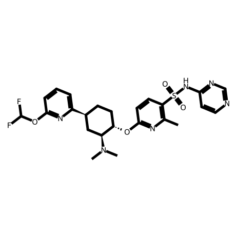 Cc1nc(O[C@H]2CC[C@H](c3cccc(OC(F)F)n3)C[C@@H]2N(C)C)ccc1S(=O)(=O)Nc1ccncn1